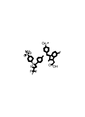 CC1=C(CC(=O)O)c2cc(F)ccc2/C1=C\c1ccc([S+](C)[O-])cc1.Cc1ccc(-c2cc(C(F)(F)F)nn2-c2ccc(S(N)(=O)=O)cc2)cc1